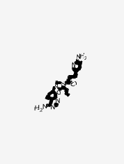 CCCC1C(=O)N(Cc2ccc3c(N)ncnc3c2)CCN1C(=O)/C=C/c1ccc(N)nc1